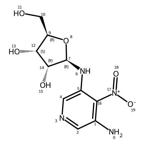 Nc1cncc(N[C@@H]2O[C@H](CO)[C@@H](O)[C@H]2O)c1[N+](=O)[O-]